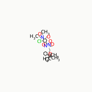 C[C@@H]1CN(c2c(C=O)cc3c(N4C(=O)OC[C@@H]4CCCO[Si](c4ccccc4)(c4ccccc4)C(C)(C)C)noc3c2Cl)C[C@@H](C)O1